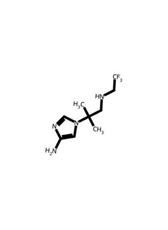 CC(C)(CNCC(F)(F)F)n1cnc(N)c1